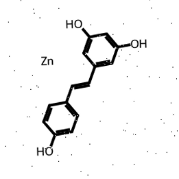 Oc1ccc(C=Cc2cc(O)cc(O)c2)cc1.[Zn]